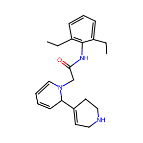 CCc1cccc(CC)c1NC(=O)CN1C=CC=CC1C1=CCNCC1